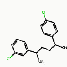 CC(CCC(C)c1cccc(Cl)c1)c1ccc(Cl)cc1